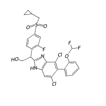 O=S(=O)(CC1CC1)c1ccc(C(CO)c2nc3c(Cl)c(-c4ccccc4OC(F)F)c(Cl)cc3[nH]2)c(F)c1